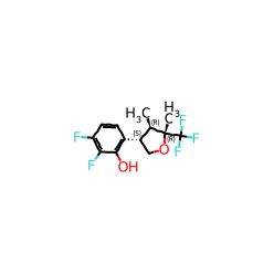 C[C@@H]1[C@@H](c2ccc(F)c(F)c2O)CO[C@@]1(C)C(F)(F)F